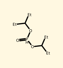 CCC(CC)O[PH](=O)OC(CC)CC